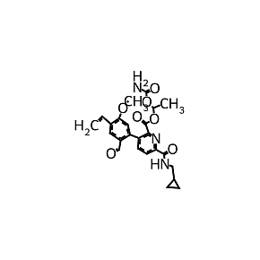 C=Cc1cc(C=O)c(-c2ccc(C(=O)NCC3CC3)nc2C(=O)OC(C)OC(N)=O)cc1OC